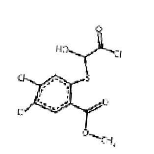 COC(=O)c1cc(Cl)c(Cl)cc1SC(O)C(=O)Cl